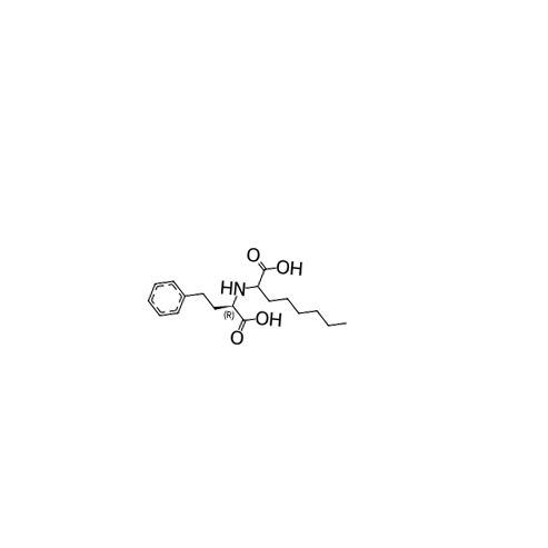 CCCCCCC(N[C@H](CCc1ccccc1)C(=O)O)C(=O)O